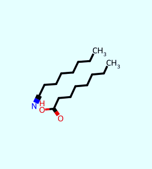 CCCCCCCC#N.CCCCCCCC(=O)O